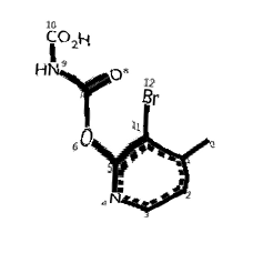 Cc1ccnc(OC(=O)NC(=O)O)c1Br